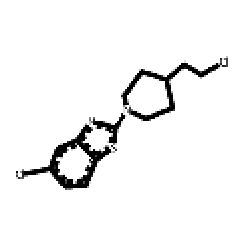 ClCCC1CCN(c2nc3cc(Cl)ccc3s2)CC1